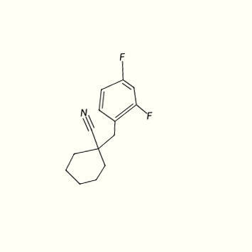 N#CC1(Cc2ccc(F)cc2F)CCCCC1